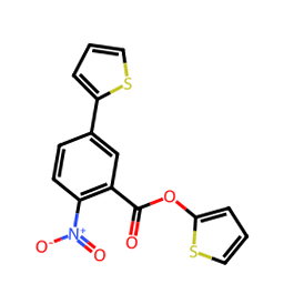 O=C(Oc1cccs1)c1cc(-c2cccs2)ccc1[N+](=O)[O-]